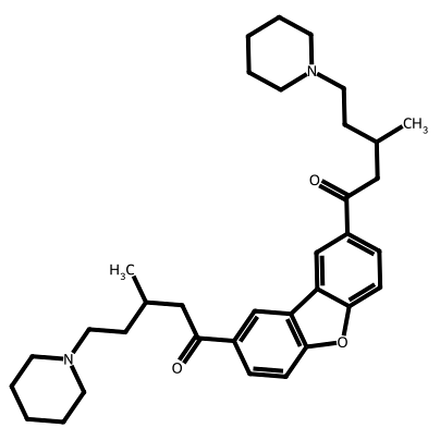 CC(CCN1CCCCC1)CC(=O)c1ccc2oc3ccc(C(=O)CC(C)CCN4CCCCC4)cc3c2c1